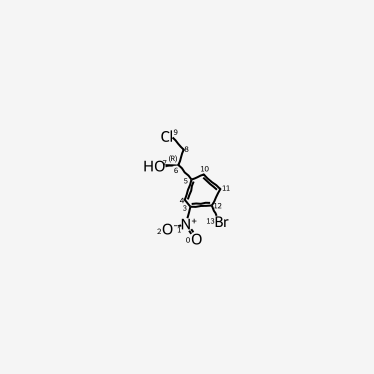 O=[N+]([O-])c1cc([C@@H](O)CCl)ccc1Br